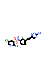 Cc1ncc(Cl)cc1S(=O)(=O)Nc1ccc(F)c(C#Cc2cnc(N)nn2)c1F